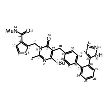 CCCCc1nc(C)n(Cc2sccc2C(=O)NC)c(=O)c1Cc1ccc(-c2ccccc2-c2nnn[nH]2)cc1